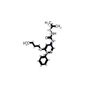 CCCCOc1c/c(=N\C(=O)NSC(C)C)cnn1-c1ccccc1